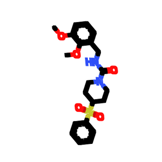 COc1cccc(CNC(=O)N2CCC(S(=O)(=O)c3ccccc3)CC2)c1OC